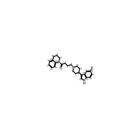 O=C(CCCN1CCC(c2c[nH]c3ccc(F)cc23)CC1)N1CCCc2ccccc21